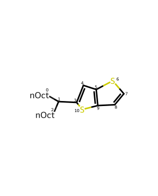 CCCCCCCCC(CCCCCCCC)c1cc2sccc2s1